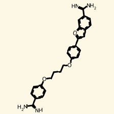 N=C(N)c1ccc(OCCCCOc2ccc(-c3cc4ccc(C(=N)N)cc4o3)cc2)cc1